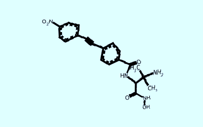 CC(C)(N)C(NC(=O)c1ccc(C#Cc2ccc([N+](=O)[O-])cc2)cc1)C(=O)NO